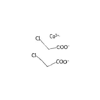 O=C([O-])CCl.O=C([O-])CCl.[Co+2]